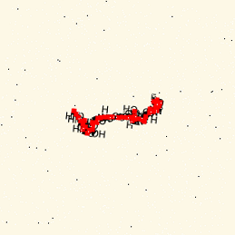 CCCNC(=O)Nc1cccc(S(=O)(=O)Nc2cccc([C@@H](CC(=O)O)NC(=O)Nc3ccc(NC(=O)NCCOCCOCCOCCC(=O)N[C@@H](CC(=O)O)C(=O)N4CCC[C@H]4C(=O)N[C@H](C(=O)N=S(C)(=O)Cc4ccnc(Nc5cc(-c6ccc(F)cc6OC)c(F)cn5)c4)C(C)C)cc3)c2)c1